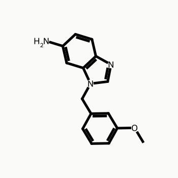 COc1cccc(Cn2cnc3ccc(N)cc32)c1